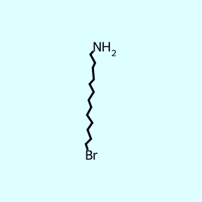 NCCCCCCCCCCCCCBr